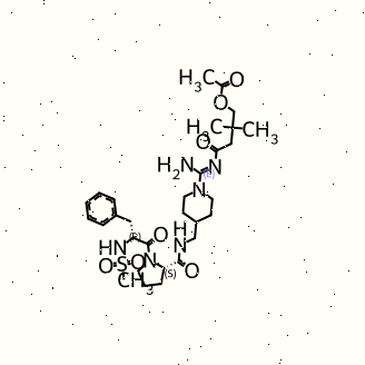 CC(=O)OCC(C)(C)CC(=O)/N=C(\N)N1CCC(CNC(=O)[C@@H]2CCCN2C(=O)[C@@H](Cc2ccccc2)NS(C)(=O)=O)CC1